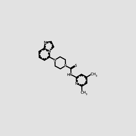 Cc1cc(C)nc(NC(=S)N2CCN(c3cccc4nccn34)CC2)c1